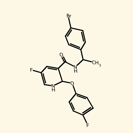 CC(NC(=O)C1=CC(F)=CNC1Oc1ccc(F)cc1)c1ccc(Br)cc1